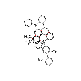 CCc1ccccc1-c1ccc(N(c2ccccc2)c2ccccc2-c2cccc(-c3ccccc3N(C3=CCCC=C3)c3ccc4c(c3)C(C)(N)c3ccccc3-4)c2)cc1CC